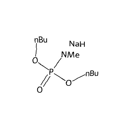 CCCCOP(=O)(NC)OCCCC.[NaH]